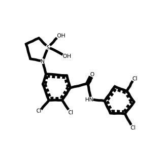 O=C(Nc1cc(Cl)cc(Cl)c1)c1cc(N2CCCS2(O)O)cc(Cl)c1Cl